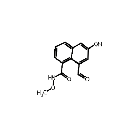 CONC(=O)c1cccc2cc(O)cc(C=O)c12